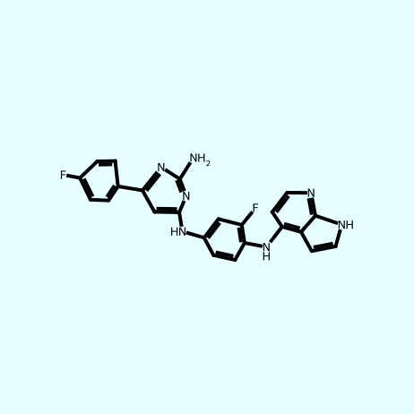 Nc1nc(Nc2ccc(Nc3ccnc4[nH]ccc34)c(F)c2)cc(-c2ccc(F)cc2)n1